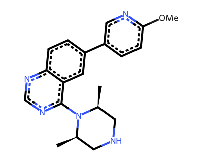 COc1ccc(-c2ccc3ncnc(N4[C@H](C)CNC[C@@H]4C)c3c2)cn1